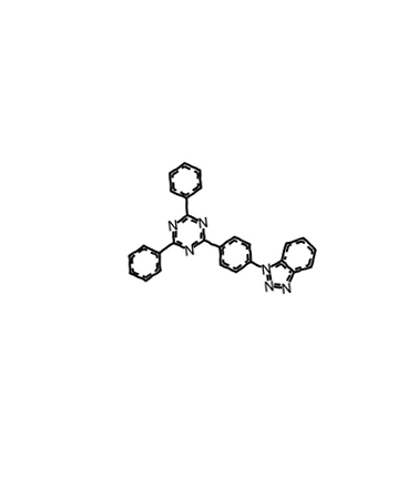 c1ccc(-c2nc(-c3ccccc3)nc(-c3ccc(-n4nnc5ccccc54)cc3)n2)cc1